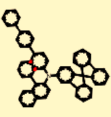 c1ccc(-c2ccc(-c3ccc(N(c4ccc5c(c4)-c4ccccc4C54c5ccccc5-c5ccccc54)c4ccc5ccccc5c4-c4ccccc4)cc3)cc2)cc1